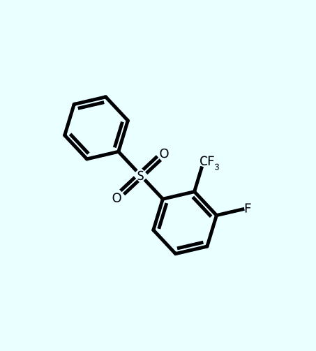 O=S(=O)(c1ccccc1)c1cccc(F)c1C(F)(F)F